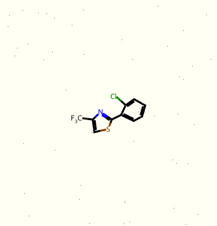 FC(F)(F)c1[c]sc(-c2ccccc2Cl)n1